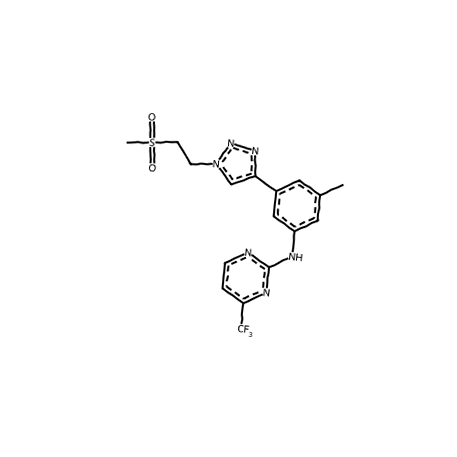 Cc1cc(Nc2nccc(C(F)(F)F)n2)cc(-c2cn(CCS(C)(=O)=O)nn2)c1